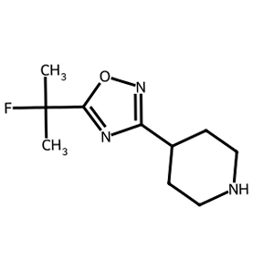 CC(C)(F)c1nc(C2CCNCC2)no1